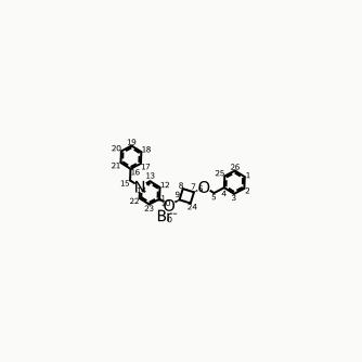 [Br-].c1ccc(CO[C@H]2C[C@H](Oc3cc[n+](Cc4ccccc4)cc3)C2)cc1